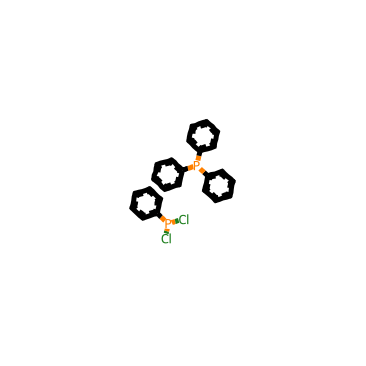 ClP(Cl)c1ccccc1.c1ccc(P(c2ccccc2)c2ccccc2)cc1